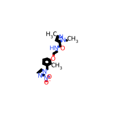 CCn1nc(C)cc1C(=O)NCCOc1cccc(Cn2ccnc2[N+](=O)[O-])c1C